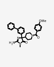 COc1ccc(C(=O)N2CCC(C3(c4cccc(-c5ccccc5)c4)N=C(N)N(C)C3=O)CC2)cc1